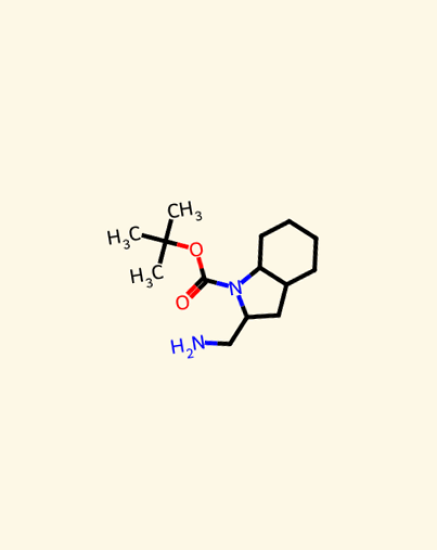 CC(C)(C)OC(=O)N1C(CN)CC2CCCCC21